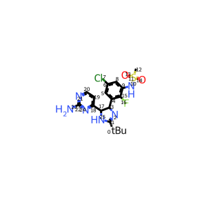 CC(C)(C)C1=NC(c2cc(Cl)cc(NS(C)(=O)=O)c2F)C(c2ccnc(N)n2)N1